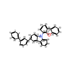 c1ccc(-c2cccc(-c3ccc4c(c3)c3ccccc3n4-c3cccc4c3oc3ccccc34)c2)cc1